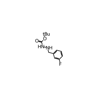 CC(C)(C)OC(=O)NNCc1cccc(F)c1